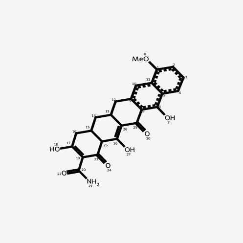 COc1cccc2c(O)c3c(cc12)CC1CC2CC(O)=C(C(N)=O)C(=O)C2C(O)=C1C3=O